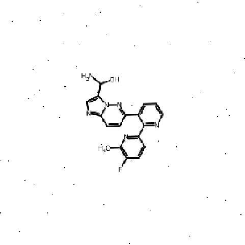 Cc1nc(-c2ncccc2-c2ccc3ncc(C(N)O)n3n2)ccc1F